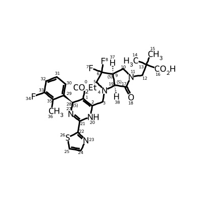 CCOC(=O)C1=C(CN2CC(F)(F)[C@H]3CN(CC(C)(C)C(=O)O)C(=O)[C@H]32)NC(c2nccs2)=N[C@H]1c1cccc(F)c1C